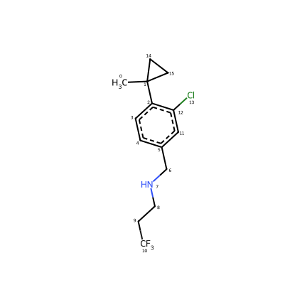 CC1(c2ccc(CNCCC(F)(F)F)cc2Cl)CC1